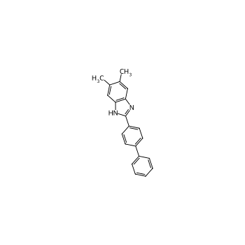 Cc1cc2nc(-c3ccc(-c4ccccc4)cc3)[nH]c2cc1C